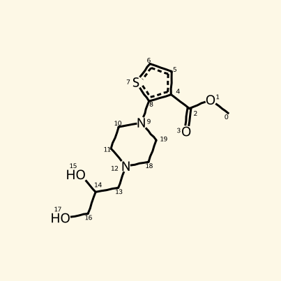 COC(=O)c1ccsc1N1CCN(CC(O)CO)CC1